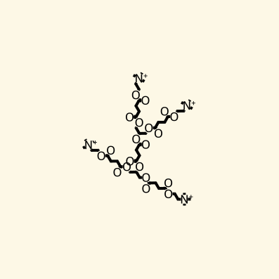 C[N+](C)(C)CCOC(=O)CCC(=O)OCC(COC(=O)CCC(=O)OCC[N+](C)(C)C)OC(=O)CCC(=O)OC(COC(=O)CCC(=O)OCC[N+](C)(C)C)COC(=O)CCC(=O)OCC[N+](C)(C)C